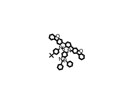 CC(C)(C)c1ccc(N2B3c4cc5nc(-c6ccccc6)n(-c6ccccc6)c5cc4-n4c5cc6c(cc5c5ccc(c3c54)-c3cc4oc5ccccc5c4cc32)oc2ccccc26)cc1